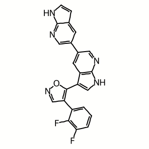 Fc1cccc(-c2cnoc2-c2c[nH]c3ncc(-c4cnc5[nH]ccc5c4)cc23)c1F